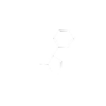 CC(C)[C@](O)(C=O)c1ccccc1